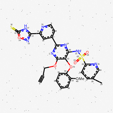 C#CCOc1nc(-c2ccnc(-c3noc(=S)[nH]3)c2)nc(NS(=O)(=O)c2ccc(C)cn2)c1Oc1ccccc1OC